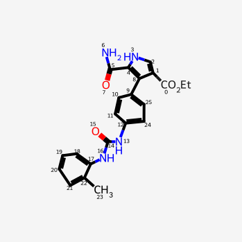 CCOC(=O)c1c[nH]c(C(N)=O)c1-c1ccc(NC(=O)Nc2ccccc2C)cc1